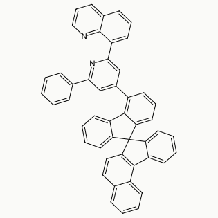 c1ccc(-c2cc(-c3cccc4c3-c3ccccc3C43c4ccccc4-c4c3ccc3ccccc43)cc(-c3cccc4cccnc34)n2)cc1